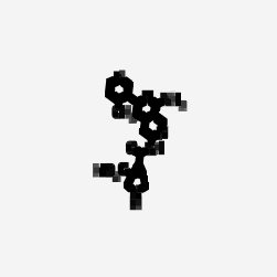 Cc1ccncc1-c1cc2cc(NC(=O)C3C4CNCC43C(=O)O)ncc2c(N)n1